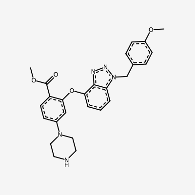 COC(=O)c1ccc(N2CCNCC2)cc1Oc1cccc2c1nnn2Cc1ccc(OC)cc1